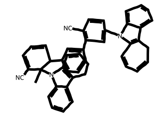 CC1(n2c3c(c4ccccc42)CCC=C3)C(C#N)=CC=CC1c1cccc(-c2cc(-n3c4c(c5ccccc53)CC=CC=C4)ccc2C#N)c1